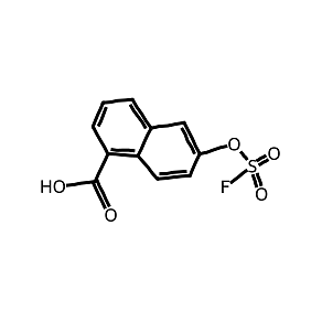 O=C(O)c1cccc2cc(OS(=O)(=O)F)ccc12